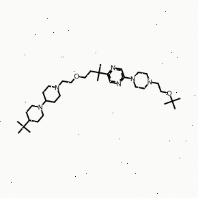 CC(C)(C)OCCN1CCN(c2cnc(C(C)(C)CCOCCN3CCC(N4CCC(C(C)(C)C)CC4)CC3)cn2)CC1